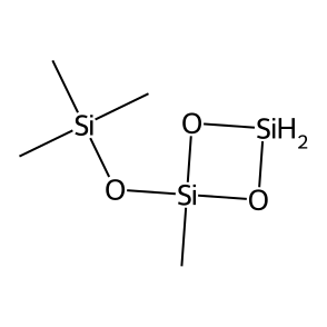 C[Si](C)(C)O[Si]1(C)O[SiH2]O1